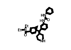 CCN(CC)C(=O)C1=CC2CC2(C(=C2CCNCC2)c2cccc(NC(=O)Nc3ccccc3)c2)C=C1